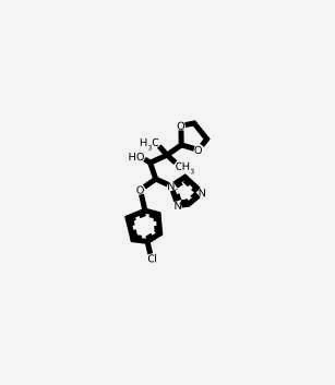 CC(C)(C1OCCO1)C(O)C(Oc1ccc(Cl)cc1)n1cncn1